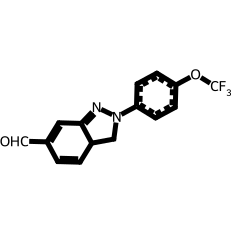 O=CC1=CC2=NN(c3ccc(OC(F)(F)F)cc3)CC2C=C1